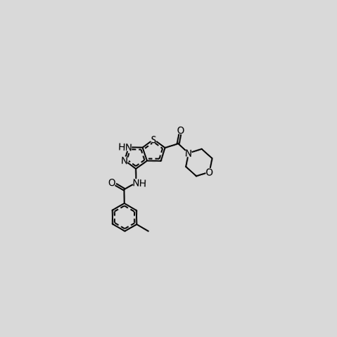 Cc1cccc(C(=O)Nc2n[nH]c3sc(C(=O)N4CCOCC4)cc23)c1